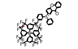 FC(F)(F)c1cc([B-](c2cc(C(F)(F)F)cc(C(F)(F)F)c2)(c2cc(C(F)(F)F)cc(C(F)(F)F)c2)c2cc(C(F)(F)F)cc(C(F)(F)F)c2)cc(C(F)(F)F)c1.O=c1c2ccccc2oc2ccc([S+](c3ccccc3)c3ccccc3)cc12